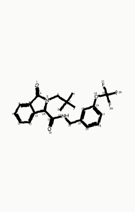 CC(C)(C)CN1C(=O)c2ccccc2C1C(=O)NCc1cccc(OC(F)(F)F)c1